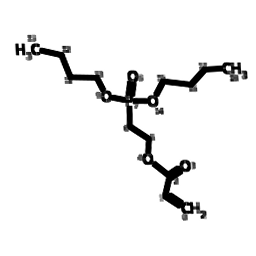 C=CC(=O)OCCP(=O)(OCCCC)OCCCC